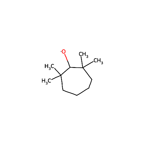 CC1(C)CCCCC(C)(C)C1[O]